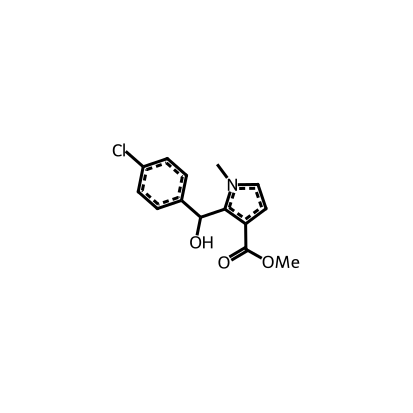 COC(=O)c1ccn(C)c1C(O)c1ccc(Cl)cc1